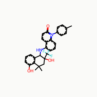 Cc1ccc(-n2c(=O)ccc3c(NC4c5cccc(O)c5C(C)(C)CC4(O)C(F)(F)F)cccc32)cc1